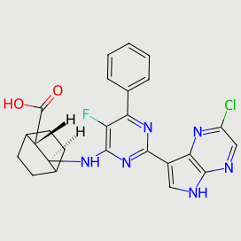 O=C(O)[C@H]1C2CCC(CC2)[C@@H]1Nc1nc(-c2c[nH]c3ncc(Cl)nc23)nc(-c2ccccc2)c1F